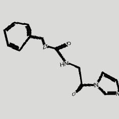 O=C(NCC(=O)n1ccnc1)OCc1ccccc1